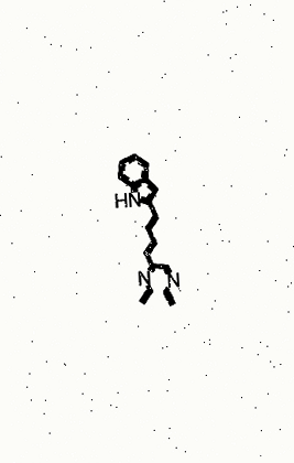 C=C\N=C/C(/C=C/C=C/c1cc2ccccc2[nH]1)=N\C=C